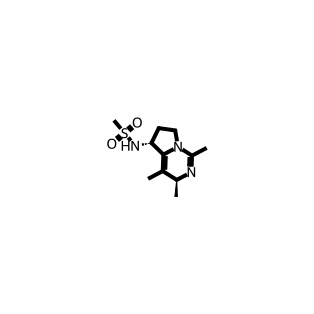 CC1=N[C@@H](C)C(C)=C2[C@H](NS(C)(=O)=O)CCN12